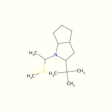 CSC(C)N1C2CCCC2CC1C(C)(C)C